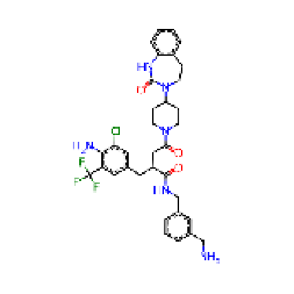 NCc1cccc(CNC(=O)[C@H](CC(=O)N2CCC(N3CCc4ccccc4NC3=O)CC2)Cc2cc(Cl)c(N)c(C(F)(F)F)c2)c1